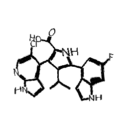 CC(C)c1c(-c2cc(F)cc3[nH]ccc23)[nH]c(C(=O)O)c1-c1c(Cl)cnc2[nH]ccc12